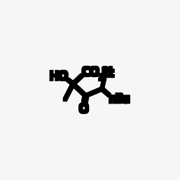 CCCCC(CC)C(=O)C(C)(O)C(=O)O